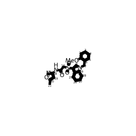 COc1ccccc1Cn1cc(S(=O)(=O)CC(=O)Nc2cc(C)on2)c2ccccc21